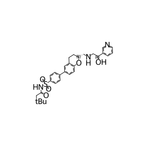 CC(C)(C)CC(=O)NS(=O)(=O)c1ccc(-c2ccc3c(c2)CC[C@H](CNC[C@H](O)c2cccnc2)O3)cc1